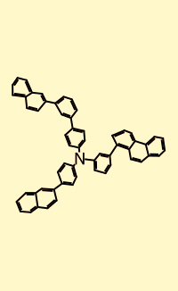 c1cc(-c2ccc(N(c3ccc(-c4ccc5ccccc5c4)cc3)c3cccc(-c4cccc5c4ccc4ccccc45)c3)cc2)cc(-c2ccc3ccccc3c2)c1